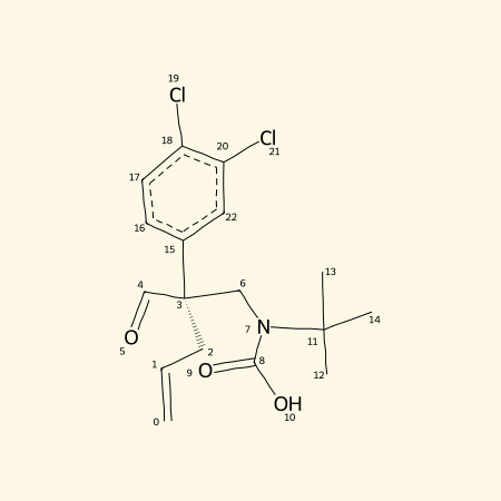 C=CC[C@@](C=O)(CN(C(=O)O)C(C)(C)C)c1ccc(Cl)c(Cl)c1